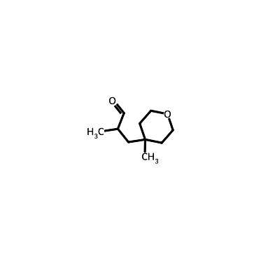 CC(C=O)CC1(C)CCOCC1